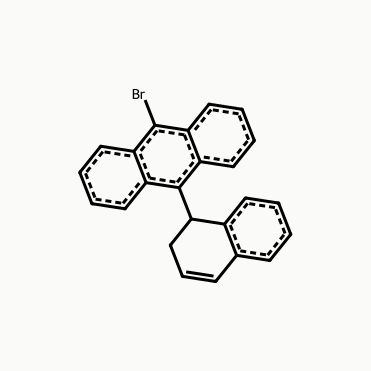 Brc1c2ccccc2c(C2CC=Cc3ccccc32)c2ccccc12